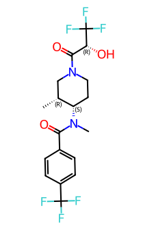 C[C@@H]1CN(C(=O)[C@@H](O)C(F)(F)F)CC[C@@H]1N(C)C(=O)c1ccc(C(F)(F)F)cc1